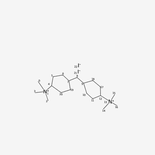 C[N+](C)(C)C1CCC(CC2CCC([N+](C)(C)C)CC2)CC1.[I-].[I-]